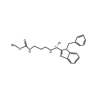 CC(C)[C@@H](NCCCNC(=O)OC(C)(C)C)c1nc2ccccc2n1Cc1ccccc1